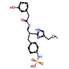 CCc1c[nH]c(C(/C=N/C(=O)Cc2cccc(O)c2)Cc2ccc(NS(=O)(=O)O)cc2)n1